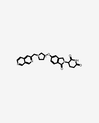 O=C1CCC(N2Cc3cc(O[C@H]4CCN(Cc5cc6ccncc6cn5)C4)ccc3C2=O)C(=O)N1